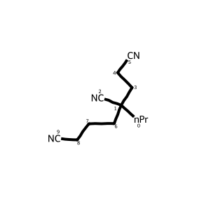 CCCC(C#N)(CCC#N)CCCC#N